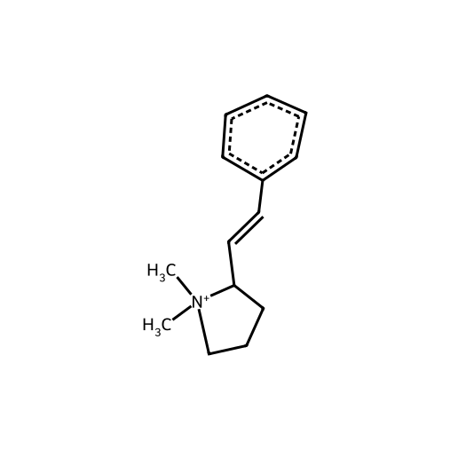 C[N+]1(C)CCCC1C=Cc1ccccc1